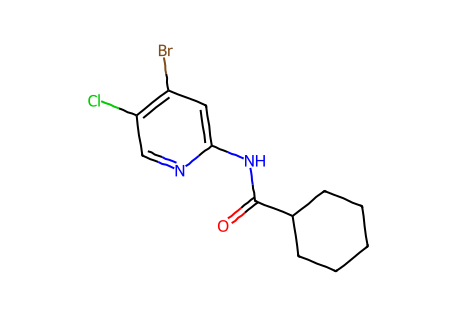 O=C(Nc1cc(Br)c(Cl)cn1)C1CCCCC1